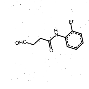 CCc1ccccc1NC(=O)CCC=O